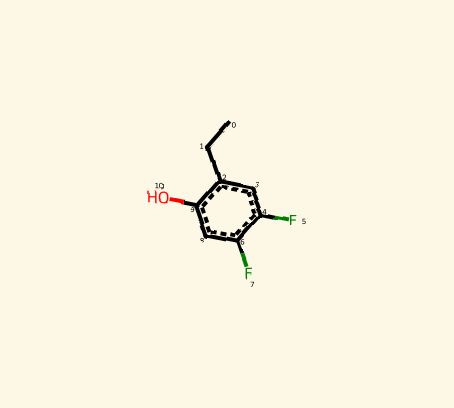 CCc1cc(F)c(F)cc1O